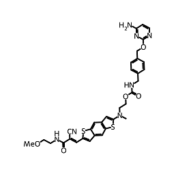 COCCNC(=O)/C(C#N)=C/c1cc2cc3sc(N(C)CCOC(=O)NCc4ccc(COc5nccc(N)n5)cc4)cc3cc2s1